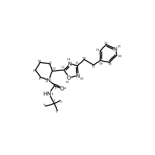 CC(C)(C)NC(=O)N1CCCCC1c1nc(CCc2ccncc2)no1